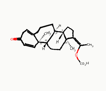 CC(OC(=O)O)=C1CC[C@H]2[C@@H]3CCC4=CC(=O)C=C[C@]4(C)[C@H]3CC[C@]12C